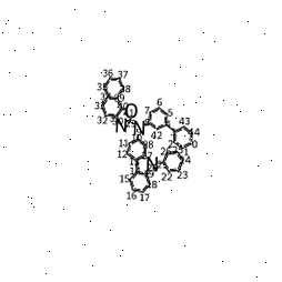 c1ccc(-c2cccc(N(c3ccc4c5ccccc5n(-c5ccccc5)c4c3)c3nc4ccc5ccccc5c4o3)c2)cc1